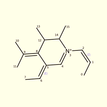 C/C=C\[N+]1=CC(=C/C)/C(=C(C)C)C(C)C1C